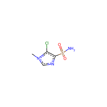 Cn1cnc(S(N)(=O)=O)c1Cl